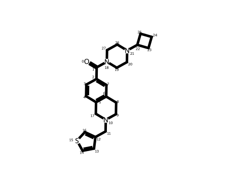 O=C(c1ccc2c(c1)CCN(Cc1ccsc1)C2)N1CCN(C2CCC2)CC1